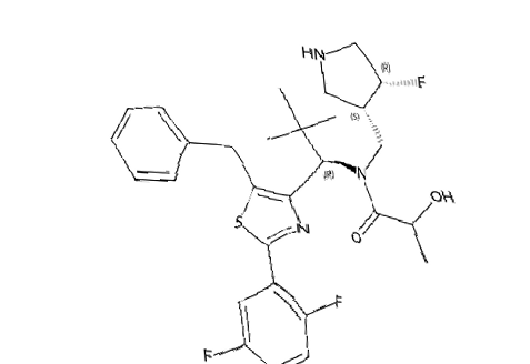 CC(O)C(=O)N(C[C@@H]1CNC[C@@H]1F)[C@@H](c1nc(-c2cc(F)ccc2F)sc1Cc1ccccc1)C(C)(C)C